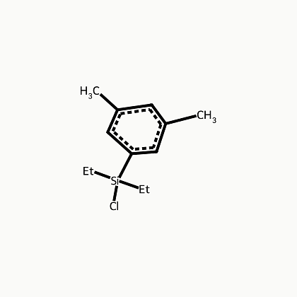 CC[Si](Cl)(CC)c1cc(C)cc(C)c1